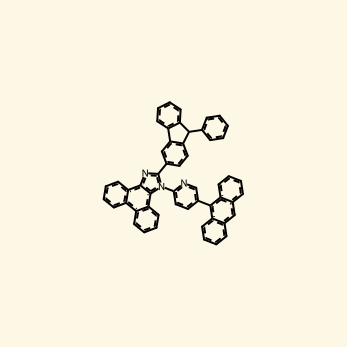 c1ccc(C2c3ccccc3-c3cc(-c4nc5c6ccccc6c6ccccc6c5n4-c4ccc(-c5c6ccccc6cc6ccccc56)cn4)ccc32)cc1